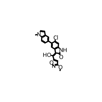 COc1cc(C(O)=C2C(=O)Nc3cc(Cl)c(-c4ccc5c(ccn5C)c4)cc32)on1